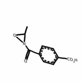 CC1ON1C(=O)c1ccc(C(=O)O)cc1